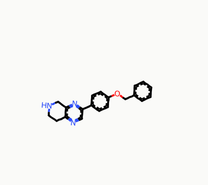 c1ccc(COc2ccc(-c3cnc4c(n3)CNCC4)cc2)cc1